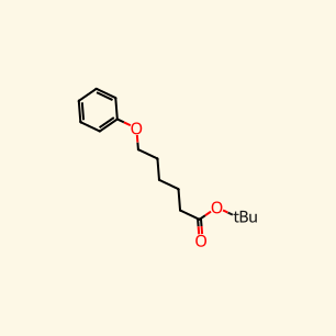 CC(C)(C)OC(=O)CCCCCOc1ccccc1